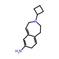 NC1=CC2=CCN(C3CCC3)CCC2=CC1